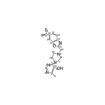 Cc1ncnc(N2CCN(Cc3nc4ccc(C(F)F)cc4o3)CC2)c1O